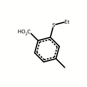 CCSc1cc(C)ccc1C(=O)O